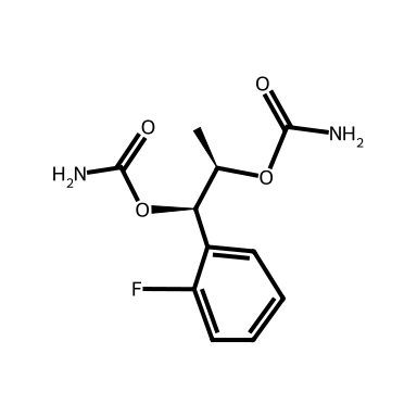 C[C@@H](OC(N)=O)[C@H](OC(N)=O)c1ccccc1F